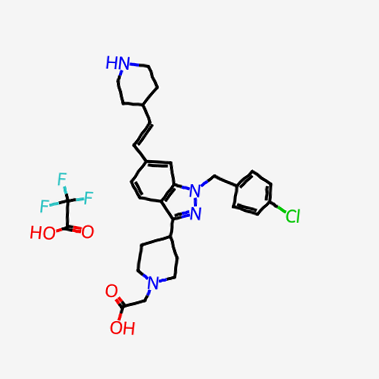 O=C(O)C(F)(F)F.O=C(O)CN1CCC(c2nn(Cc3ccc(Cl)cc3)c3cc(C=CC4CCNCC4)ccc23)CC1